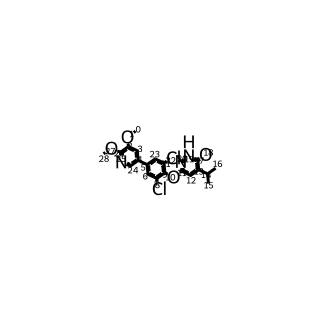 COc1cc(-c2cc(Cl)c(Oc3cc(C(C)C)c(=O)[nH]n3)c(Cl)c2)cnc1OC